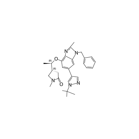 Cc1nc2c(O[C@H](C)[C@@H]3CC(=O)N(C)C3)cc(-c3cnn(C(C)(C)C)c3)cc2n1Cc1ccccc1